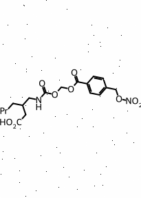 CC(C)CC(CNC(=O)OCOC(=O)c1ccc(CO[N+](=O)[O-])cc1)CC(=O)O